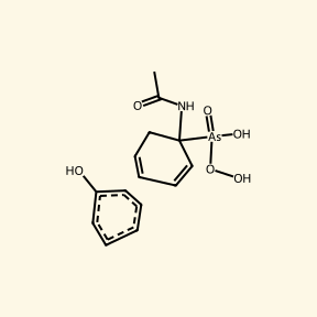 CC(=O)NC1([As](=O)(O)OO)C=CC=CC1.Oc1ccccc1